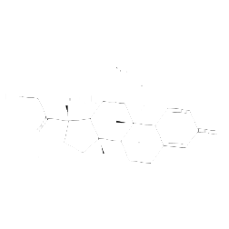 C[C@H]1C[C@H]2[C@@H]3CCC4=CC(=O)C=C[C@]4(C)[C@@]3(F)[C@@H](O)C[C@]2(C)[C@@]1(O)C(=O)CO.[NaH]